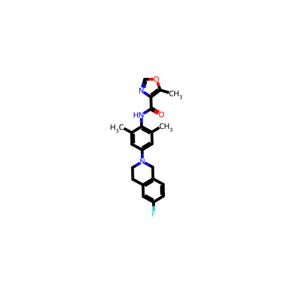 Cc1cc(N2CCc3cc(F)ccc3C2)cc(C)c1NC(=O)c1ncoc1C